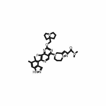 Cc1cc2[nH]ncc2c(-c2ncc3c(N4CCCn5nc(C(=O)N(C)C)cc5C4)nc(OCC45CCCN4CCC5)nc3c2F)c1C